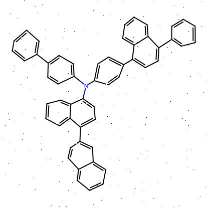 c1ccc(-c2ccc(N(c3ccc(-c4ccc(-c5ccccc5)c5ccccc45)cc3)c3ccc(-c4ccc5ccccc5c4)c4ccccc34)cc2)cc1